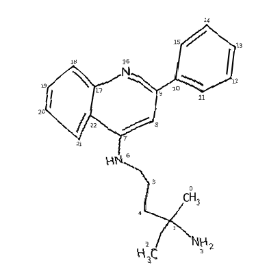 CC(C)(N)CCNc1cc(-c2ccccc2)nc2ccccc12